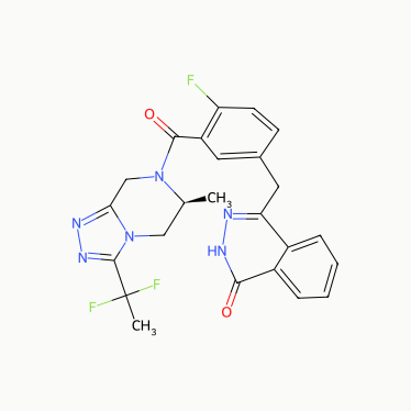 C[C@H]1Cn2c(nnc2C(C)(F)F)CN1C(=O)c1cc(Cc2n[nH]c(=O)c3ccccc23)ccc1F